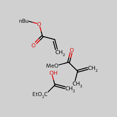 C=C(C)C(=O)OC.C=C(O)C(=O)OCC.C=CC(=O)OCCCC